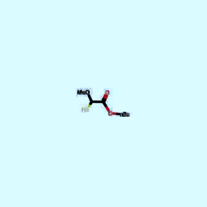 CCCCOC(=O)C(S)OC